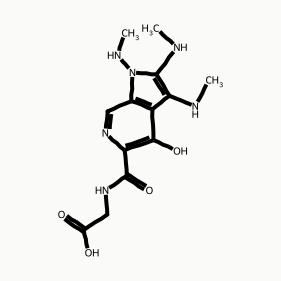 CNc1c(NC)n(NC)c2cnc(C(=O)NCC(=O)O)c(O)c12